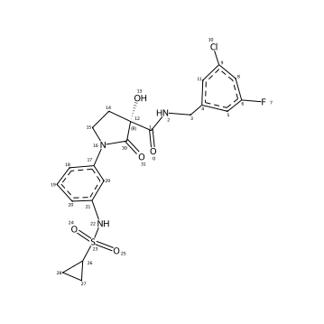 O=C(NCc1cc(F)cc(Cl)c1)[C@]1(O)CCN(c2cccc(NS(=O)(=O)C3CC3)c2)C1=O